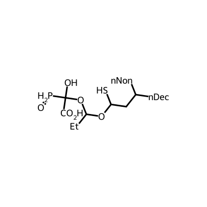 CCCCCCCCCCC(CCCCCCCCC)CC(S)OC(CC)OC(O)([PH2]=O)C(=O)O